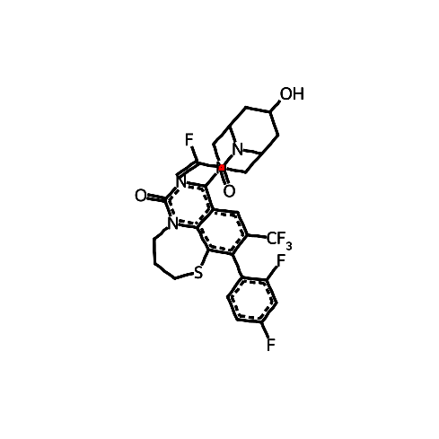 C=C(F)C(=O)N1C2CC(O)CC1CN(c1nc(=O)n3c4c(c(-c5ccc(F)cc5F)c(C(F)(F)F)cc14)SCCC3)C2